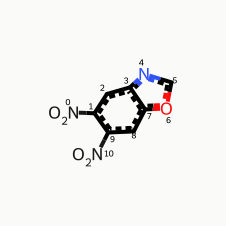 O=[N+]([O-])c1cc2ncoc2cc1[N+](=O)[O-]